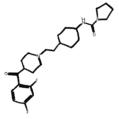 O=C(c1ccc(F)cc1F)C1CCN(CCC2CCC(NC(=O)N3CCCC3)CC2)CC1